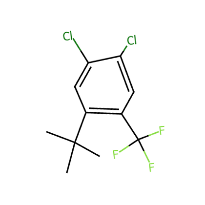 CC(C)(C)c1cc(Cl)c(Cl)cc1C(F)(F)F